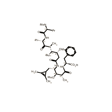 CC[C@H](C)[C@@H]([C@@H](CC(=O)N[C@@H](CC1C(C)=C1C)[C@H](OC)[C@@H](C)C(=O)N[C@@H](Cc1ccccc1)C(=O)O)OC)N(C)C(=O)[C@@H](NC(=O)[C@@H](NC)C(C)C)C(C)C